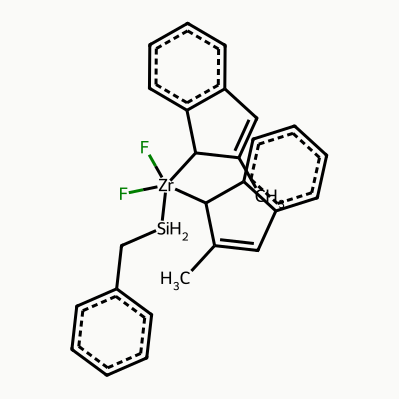 CC1=Cc2ccccc2[CH]1[Zr]([F])([F])([SiH2]Cc1ccccc1)[CH]1C(C)=Cc2ccccc21